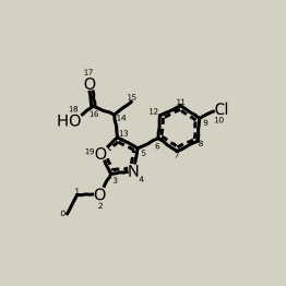 CCOc1nc(-c2ccc(Cl)cc2)c(C(C)C(=O)O)o1